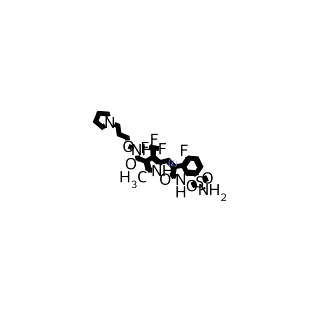 Cc1[nH]c(/C=C2\C(=O)Nc3c(S(N)(=O)=O)ccc(F)c32)c(C(F)(F)F)c1C(=O)NOCCCN1CCCC1